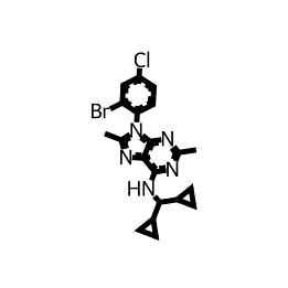 Cc1nc(NC(C2CC2)C2CC2)c2nc(C)n(-c3ccc(Cl)cc3Br)c2n1